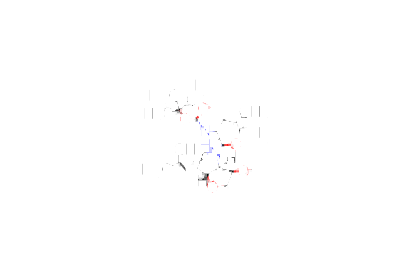 CC(C)=C[C@@H]1CN(C(=O)[C@H](CC(C)C)NC(=O)OC(C)(C)C)[C@@H]2C(=O)CO[C@H]12